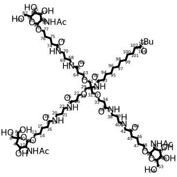 CC(=O)NC1C(O)CC(CO)(CO)O[C@H]1OCCCCC(=O)NCCCNC(=O)CCOCC(COCCC(=O)NCCCNCC(=O)CCCCO[C@@H]1OC(CO)[C@@H](O)C(O)C1NC(C)=O)(COCCC(=O)NCCCNC(=O)CCCCO[C@@H]1OC(CO)[C@@H](O)C(O)[C@@H]1NC(C)=O)NC(=O)CCCCCCCCCCC(=O)C(C)(C)C